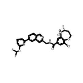 O=C(NCc1cc2cc(-c3cccc(OC(F)F)n3)ccc2cn1)c1cc(Cl)c2c(c1)S(=O)(=O)[C@@H](F)CCO2